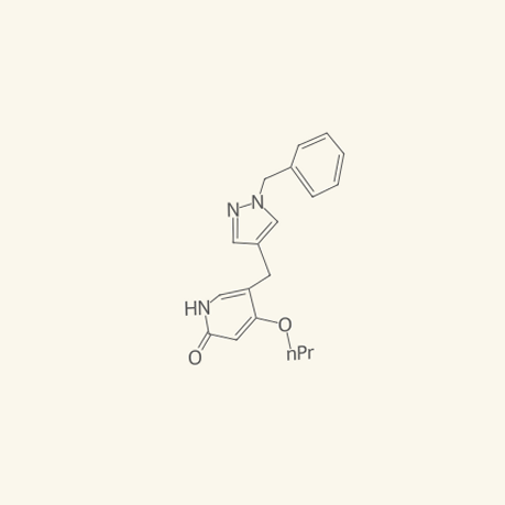 CCCOc1cc(=O)[nH]cc1Cc1cnn(Cc2ccccc2)c1